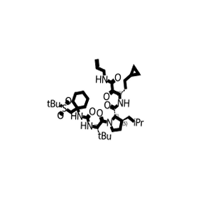 C=CCNC(=O)C(=O)[C@H](CCC1CC1)NC(=O)[C@@H]1[C@@H](CC(C)C)CCN1C(=O)[C@@H](NC(=O)NC1(CS(=O)(=O)C(C)(C)C)CCCCC1)C(C)(C)C